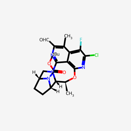 Cc1c(C=O)nc2c3c(nc(Cl)c(F)c13)O[C@@H](C)[C@@H]1[C@@H]3CC[C@H](CN21)N3C(=O)OC(C)(C)C